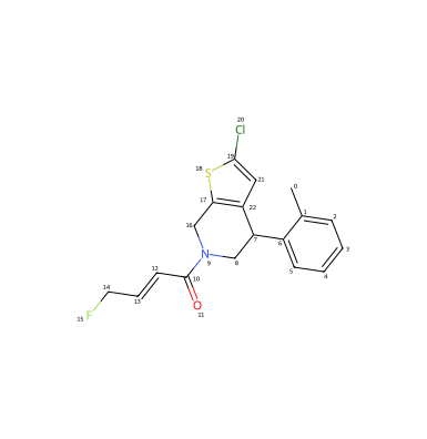 Cc1ccccc1C1CN(C(=O)C=CCF)Cc2sc(Cl)cc21